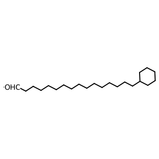 O=[C]CCCCCCCCCCCCCCCC1CCCCC1